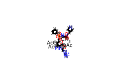 CC(=O)OC1O[C@H](COP(=O)(N[C@@H](C)C(=O)OCc2ccncc2)Oc2ccccc2)[C@@H](OC(C)=O)[C@H](OC(C)=O)[C@@H]1NC(=O)CN=[N+]=[N-]